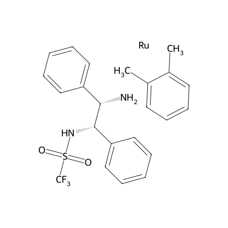 Cc1ccccc1C.N[C@@H](c1ccccc1)[C@@H](NS(=O)(=O)C(F)(F)F)c1ccccc1.[Ru]